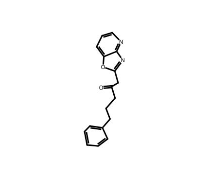 O=C(CCCc1ccccc1)Cc1nc2ncccc2o1